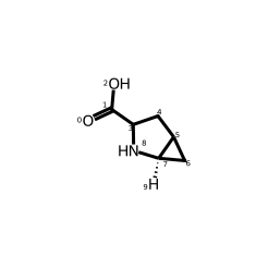 O=C(O)C1CC2C[C@H]2N1